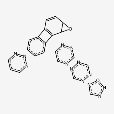 C1=CC2OC2C2=C1c1ccccc12.c1cnncn1.c1cnnnc1.c1nncnn1.c1nnon1